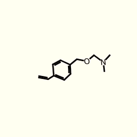 C=Cc1ccc(COCN(C)C)cc1